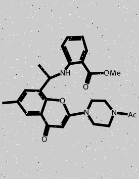 COC(=O)c1ccccc1NC(C)c1cc(C)cc2c(=O)cc(N3CCN(C(C)=O)CC3)oc12